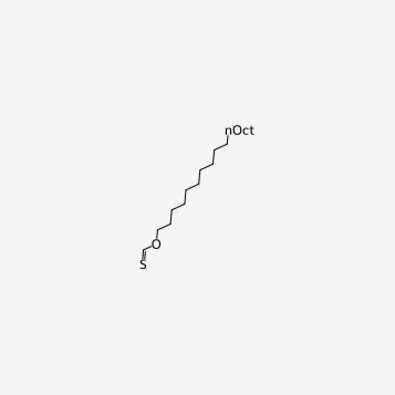 CCCCCCCCCCCCCCCCCCOC=S